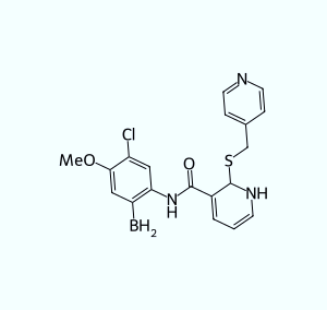 Bc1cc(OC)c(Cl)cc1NC(=O)C1=CC=CNC1SCc1ccncc1